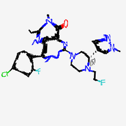 Cc1nc2c(-c3ccc(Cl)cc3F)nc(N3CCN(CCF)[C@@H](c4cnn(C)c4)C3)nc2c(=O)n1C